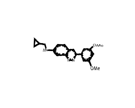 COc1cc(OC)cc(-c2cc3ccc(NCC4CC4)cc3nn2)c1